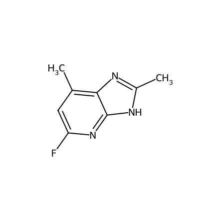 Cc1nc2c(C)cc(F)nc2[nH]1